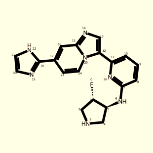 F[C@H]1CNC[C@@H]1Nc1cccc(-c2cnc3cc(-c4ncc[nH]4)ccn23)n1